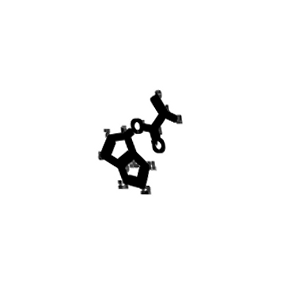 C=C(C)C(=O)OC1C=CC2=C1C=C=C2